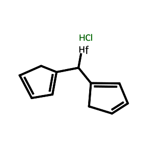 Cl.[Hf][CH](C1=CC=CC1)C1=CC=CC1